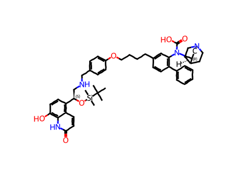 CC(C)(C)[Si](C)(C)O[C@H](CNCc1ccc(OCCCCc2ccc(-c3ccccc3)c(N(C(=O)O)[C@H]3CN4CCC3CC4)c2)cc1)c1ccc(O)c2[nH]c(=O)ccc12